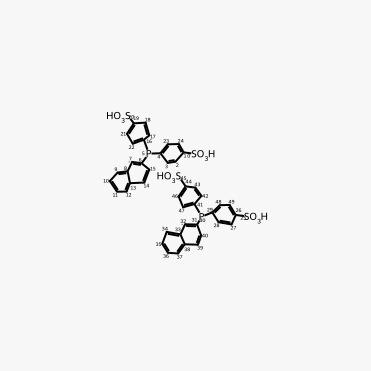 O=S(=O)(O)c1ccc(P(c2[c]c3ccccc3cc2)c2ccc(S(=O)(=O)O)cc2)cc1.O=S(=O)(O)c1ccc(P(c2[c]c3ccccc3cc2)c2ccc(S(=O)(=O)O)cc2)cc1